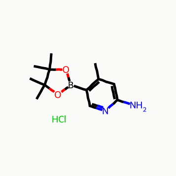 Cc1cc(N)ncc1B1OC(C)(C)C(C)(C)O1.Cl